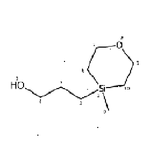 C[Si]1(CCCO)CCOCC1